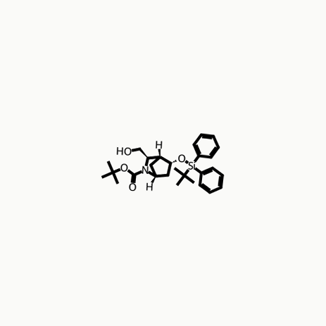 CC(C)(C)OC(=O)N1[C@@H]2C[C@@H]([C@H](O[Si](c3ccccc3)(c3ccccc3)C(C)(C)C)C2)[C@@H]1CO